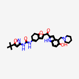 CC(C)(C)c1cc(NC(=O)NC2=Cc3cc(C(=O)c4cc5c(CN6CCCCC6)c(O)ccc5[nH]4)oc3CC2)no1